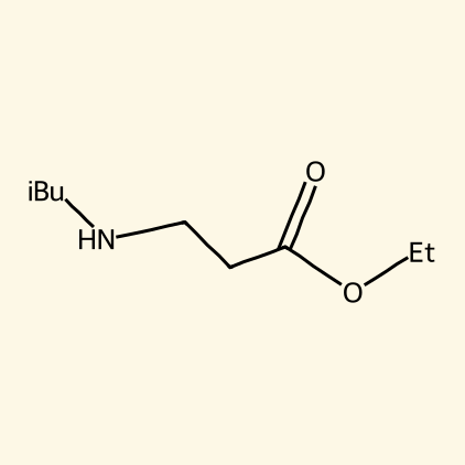 CCOC(=O)CCNC(C)CC